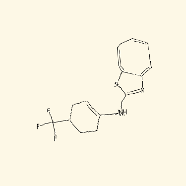 FC(F)(F)C1CC=C(Nc2nc3ccccc3s2)CC1